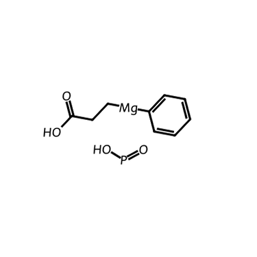 O=C(O)C[CH2][Mg][c]1ccccc1.O=PO